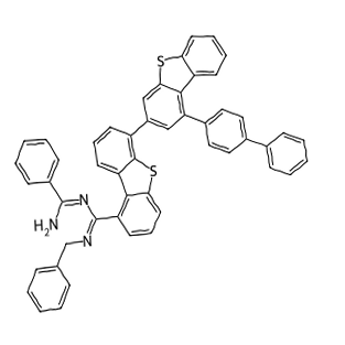 N/C(=N\C(=N/Cc1ccccc1)c1cccc2sc3c(-c4cc(-c5ccc(-c6ccccc6)cc5)c5c(c4)sc4ccccc45)cccc3c12)c1ccccc1